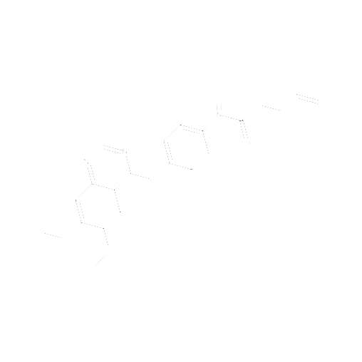 C=CCOC(=O)Nc1ccc(Oc2ncnc3cc(OC)c(OC)cc23)cc1